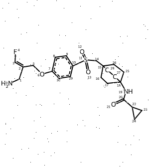 NC/C(=C/F)COc1ccc(S(=O)(=O)CC23CCC(NC(=O)C4CC4)(CC2)CC3)cc1